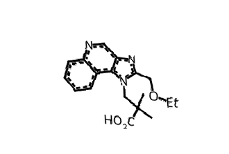 CCOCc1nc2cnc3ccccc3c2n1CC(C)(C)C(=O)O